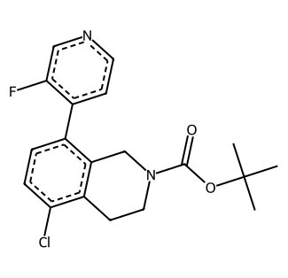 CC(C)(C)OC(=O)N1CCc2c(Cl)ccc(-c3ccncc3F)c2C1